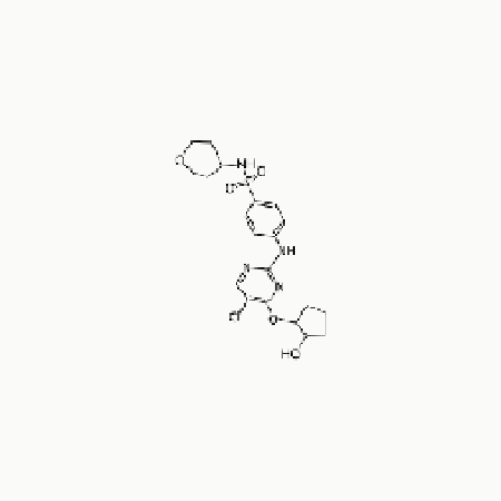 O=S(=O)(NC1CCOCC1)c1ccc(Nc2ncc(Cl)c(OC3CCCC3O)n2)cc1